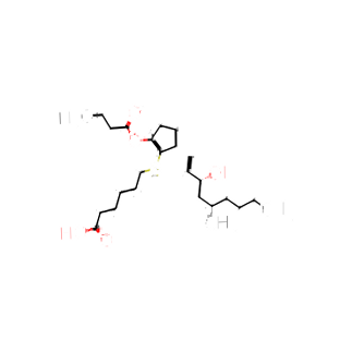 CCCC[C@@H](C)C[C@H](O)C=C[C@H]1CCC(OC(=O)CCC)=C1SCCCCCC(=O)O